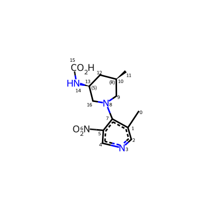 Cc1cncc([N+](=O)[O-])c1N1C[C@H](C)C[C@H](NC(=O)O)C1